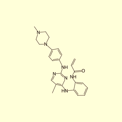 C=CC(=O)Nc1ccccc1Nc1nc(Nc2ccc(N3CCN(C)CC3)cc2)ncc1C